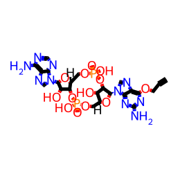 C#CCOc1nc(N)nc2c1ncn2[C@@H]1O[C@@H]2COP(=O)(O)OC3C(O)C(n4cnc5c(N)ncnc54)O[C@@H]3COP(=O)(O)OC1C2O